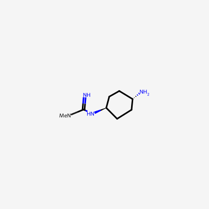 CNC(=N)N[C@H]1CC[C@H](N)CC1